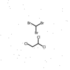 BrC(Br)Br.ClCC(Cl)Cl